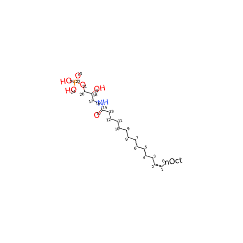 CCCCCCCC/C=C\CCCCCCCCCCCC(=O)NCC(O)COP(=O)(O)O